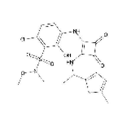 CON(C)S(=O)(=O)c1c(Cl)ccc(Nc2c(NC(C)c3ccc(C)s3)c(=O)c2=O)c1O